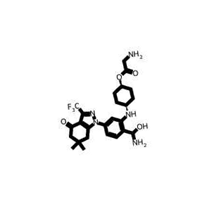 CC1(C)CC(=O)c2c(C(F)(F)F)nn(-c3ccc(C(N)O)c(N[C@H]4CC[C@H](OC(=O)CN)CC4)c3)c2C1